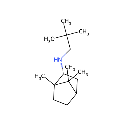 CC(C)(C)CN[C@@H]1CC2CCC1(C)C2(C)C